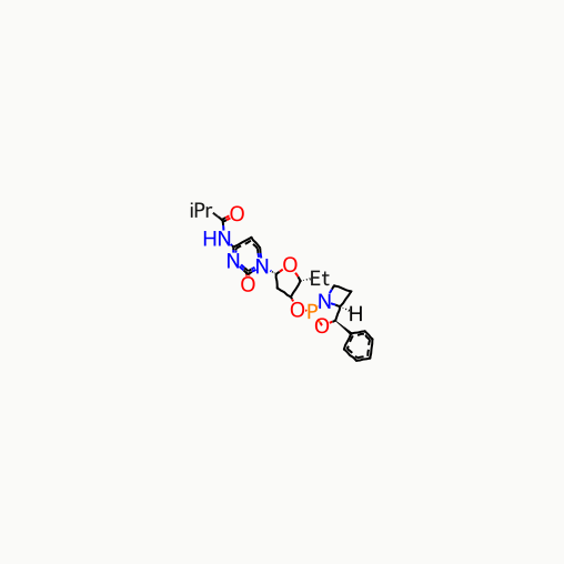 CC[C@H]1O[C@@H](n2ccc(NC(=O)C(C)C)nc2=O)CC1O[P@@]1O[C@H](c2ccccc2)[C@@H]2CCN21